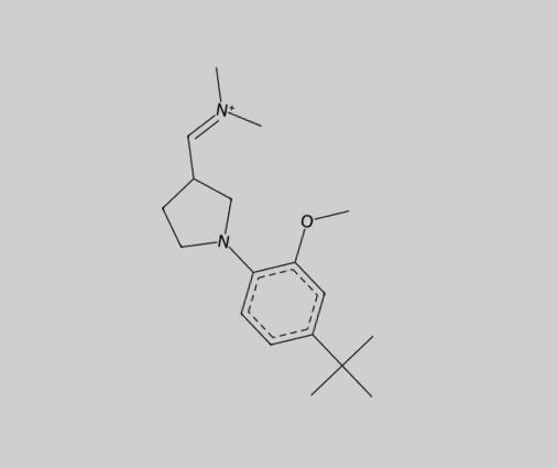 COc1cc(C(C)(C)C)ccc1N1CCC(C=[N+](C)C)C1